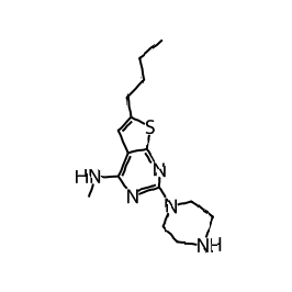 CCCCc1cc2c(NC)nc(N3CCNCC3)nc2s1